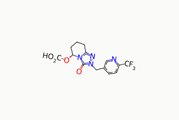 O=C(O)O[C@H]1CCCc2nn(Cc3ccc(C(F)(F)F)nc3)c(=O)n21